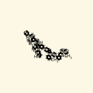 COc1cc2c(nc1N1CCOC[C@@H]1C)CCC[C@H]2N1CCN(C2CC3(CCN(c4ccc(C(=O)NS(=O)(=O)c5cc6c(c([N+](=O)[O-])c5)N[C@H](C5CCOCC5)CO6)c(N5c6cc7cc[nH]c7nc6O[C@H]6COCC[C@@H]65)c4)CC3)C2)[C@H](c2ccccc2C)C1